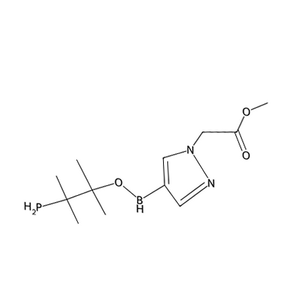 COC(=O)Cn1cc(BOC(C)(C)C(C)(C)P)cn1